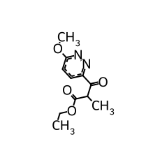 CCOC(=O)C(C)C(=O)c1ccc(OC)nn1